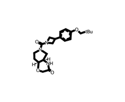 CC(C)(C)COc1ccc(C2CN(C(=O)N3CC[C@@H]4OCC(=O)N[C@@H]4C3)C2)cc1